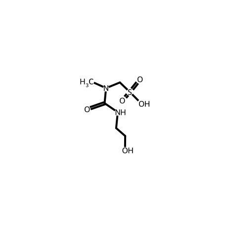 CN(CS(=O)(=O)O)C(=O)NCCO